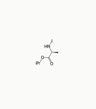 CC(C)OC(=O)[C@H](C)NI